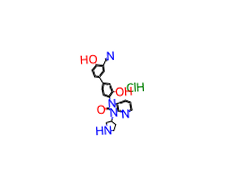 Cl.N#Cc1cc(-c2ccc(-n3c(=O)n(C4CCNC4)c4ncccc43)c(O)c2)ccc1O